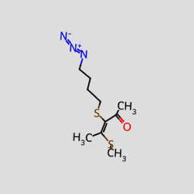 CS/C(C)=C(/SCCCCN=[N+]=[N-])C(C)=O